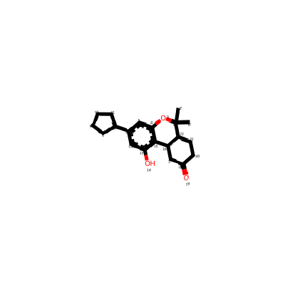 CC1(C)Oc2cc(C3CCCC3)cc(O)c2C2CC(=O)CCC21